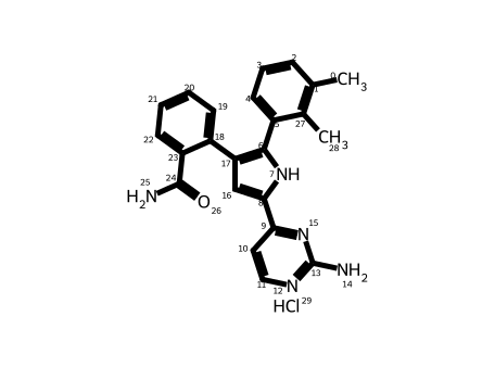 Cc1cccc(-c2[nH]c(-c3ccnc(N)n3)cc2-c2ccccc2C(N)=O)c1C.Cl